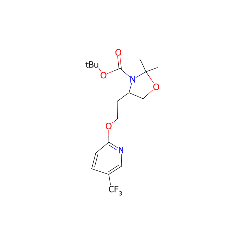 CC(C)(C)OC(=O)N1C(CCOc2ccc(C(F)(F)F)cn2)COC1(C)C